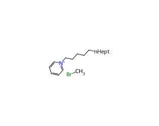 CBr.CCCCCCCCCCCC[n+]1ccccc1